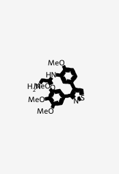 COc1ccc(-c2csnc2-c2cc(OC)c(OC)c(OC)c2)cc1NC(=O)CN